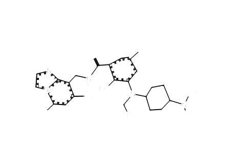 CCN(c1cc(Cl)cc(C(=O)NCc2c(C)cc(C)n3ccnc23)c1C)C1CCC(N(C)C)CC1